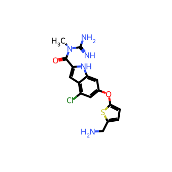 CN(C(=N)N)C(=O)c1cc2c(Cl)cc(Oc3ccc(CN)s3)cc2[nH]1